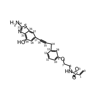 C=CS(=O)(=O)NCCOc1cccc(CC#Cc2cc(O)c3nc(N)sc3c2)c1